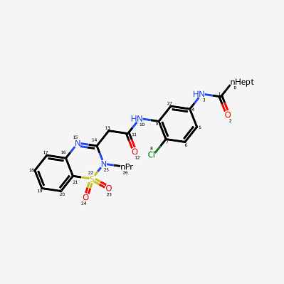 CCCCCCCC(=O)Nc1ccc(Cl)c(NC(=O)CC2=Nc3ccccc3S(=O)(=O)N2CCC)c1